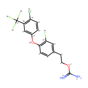 N=C(N)OCCc1ccc(Oc2ccc(Cl)c(C(F)(F)F)c2)c(F)c1